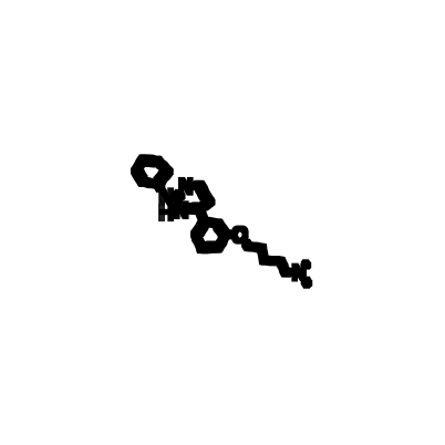 CN(C)CCCCCOc1cccc(-c2ccnc(Nc3ccccc3)n2)c1